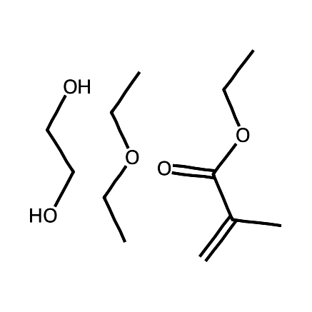 C=C(C)C(=O)OCC.CCOCC.OCCO